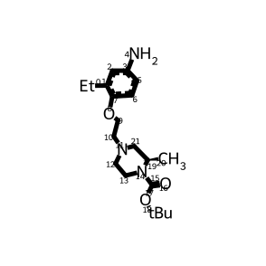 CCc1cc(N)ccc1OCCN1CCN(C(=O)OC(C)(C)C)[C@H](C)C1